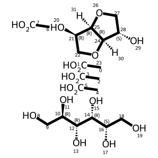 CC(=O)O.CC(=O)O.CC(=O)O.CC(=O)O.OC[C@@H](O)[C@@H](O)[C@H](O)[C@@H](O)CO.O[C@@H]1CO[C@H]2[C@@H]1OC[C@@H]2O